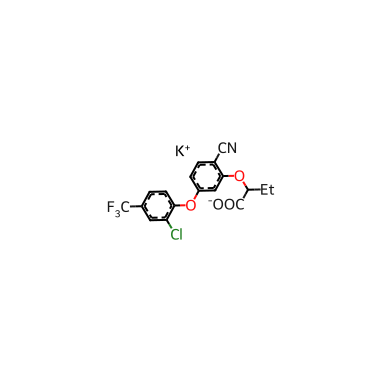 CCC(Oc1cc(Oc2ccc(C(F)(F)F)cc2Cl)ccc1C#N)C(=O)[O-].[K+]